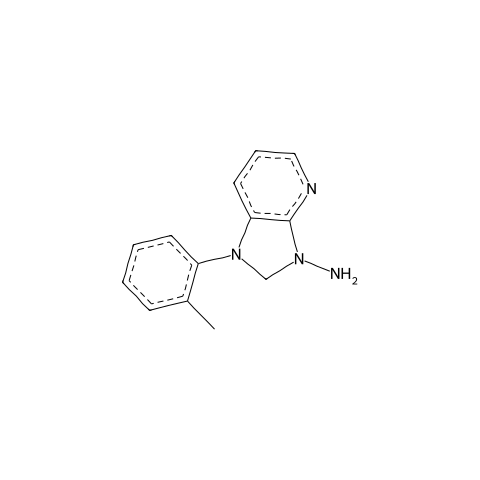 Cc1ccccc1N1CN(N)c2ncccc21